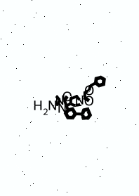 CN1C(=O)C(c2cccc(-c3ccccc3)c2)(C2CCN(C(=O)COCc3ccccc3)CC2)N=C1N